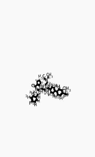 [2H]C1=C(C2=C([2H])C([2H])=C(C(F)(F)F)C(C)C2[2H])C([2H])C([2H])C(C([2H])([2H])N(CCN(CC)CC)C(=O)C([2H])([2H])n2c(SC([2H])([2H])c3c([2H])c([2H])c(F)c([2H])c3[2H])nc(=O)c3c2CCC3)=C1[2H]